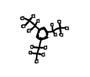 ClC(Cl)(Cl)C(Cl)(Cl)c1[c]c(C(Cl)(Cl)C(Cl)(Cl)Cl)cc(C(Cl)(Cl)C(Cl)(Cl)Cl)c1